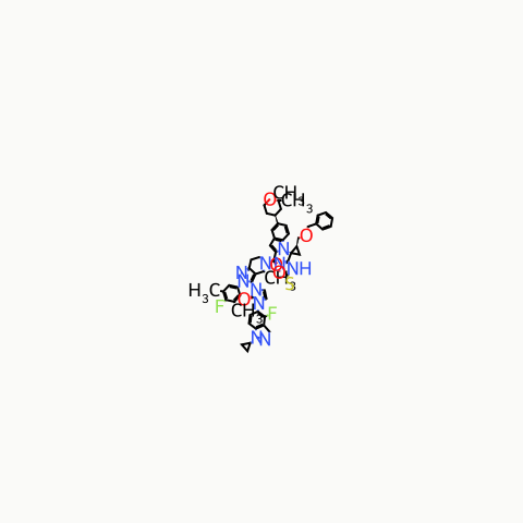 Cc1cc(-n2nc3c(c2-n2ccn(-c4ccc5c(cnn5C5CC5)c4F)c2=O)[C@H](C)N(C(=O)c2cc4cc([C@H]5CCOC(C)(C)C5)ccc4n2[C@@]2(c4noc(=S)[nH]4)C[C@@H]2COCc2ccccc2)CC3)cc(C)c1F